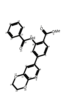 COC(=O)c1ccc(-c2cnc3c(c2)OCCO3)cc1NC(=O)c1ccccc1